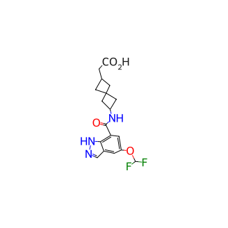 O=C(O)CC1CC2(C1)CC(NC(=O)c1cc(OC(F)F)cc3cn[nH]c13)C2